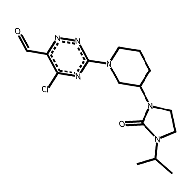 CC(C)N1CCN(C2CCCN(c3nnc(C=O)c(Cl)n3)C2)C1=O